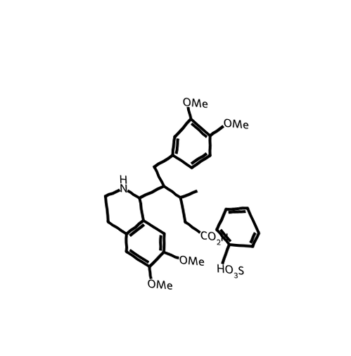 COc1ccc(CC(C(C)CC(=O)O)C2NCCc3cc(OC)c(OC)cc32)cc1OC.O=S(=O)(O)c1ccccc1